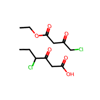 CCC(Cl)C(=O)CC(=O)O.CCOC(=O)CC(=O)CCl